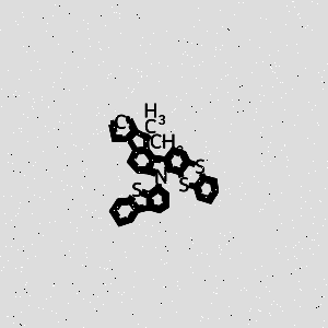 CC1(C)c2ccccc2-c2ccc3c(c21)c1ccc2c(c1n3-c1cccc3c1sc1ccccc13)Sc1ccccc1S2